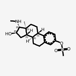 CN[C@H]1[C@H](O)C[C@H]2[C@@H]3CCc4cc(OS(C)(=O)=O)ccc4[C@H]3CC[C@@]21C